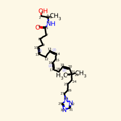 C[C@H](CO)NC(=O)CCC/C=C\C/C=C\C/C=C\C/C=C\C(C)(C)CCCCn1cncn1